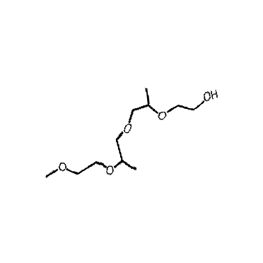 COCCOC(C)COCC(C)OCCO